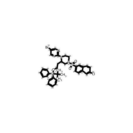 CC(C)(C)[Si](OCCC1CN(S(=O)(=O)c2ccc3cc(Cl)ccc3c2)CCN1c1ncc(Br)cn1)(c1ccccc1)c1ccccc1